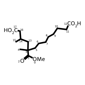 COC(=O)C(C)(CCCCCCCC(=O)O)CC(C)CC(=O)O